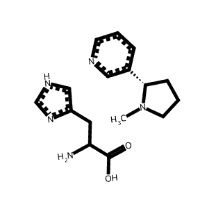 CN1CCC[C@H]1c1cccnc1.NC(Cc1c[nH]cn1)C(=O)O